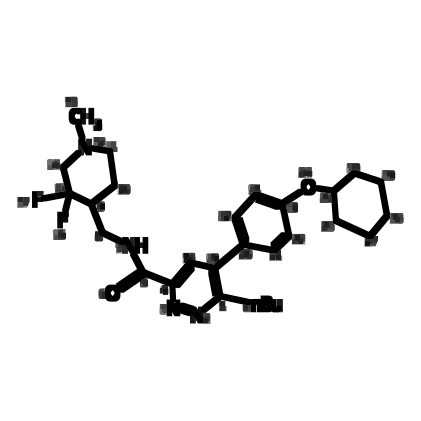 CCCCc1nnc(C(=O)NCC2CCN(C)CC2(F)F)cc1-c1ccc(OC2CCCCC2)cc1